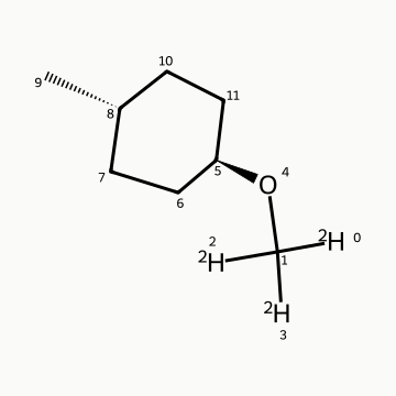 [2H]C([2H])([2H])O[C@H]1CC[C@H](C)CC1